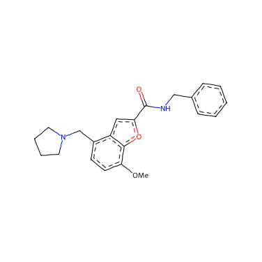 COc1ccc(CN2CCCC2)c2cc(C(=O)NCc3ccccc3)oc12